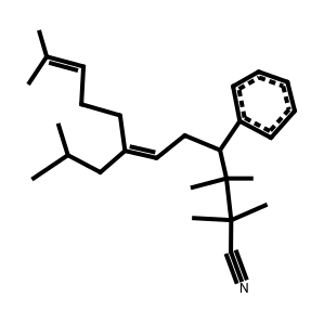 CC(C)=CCC/C(=C\CC(c1ccccc1)C(C)(C)C(C)(C)C#N)CC(C)C